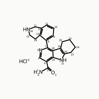 Cl.NC(=O)c1cnc(-c2cccc3c2CCNC3)c2c3c([nH]c12)CCCC3